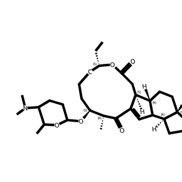 CC[C@H]1CCC[C@H](OC2CCC(N(C)C)C(C)O2)[C@@H](C)C(=O)C2=CC3[C@@H](CC[C@@H]4CCC[C@@H]34)[C@@H]2CC(=O)O1